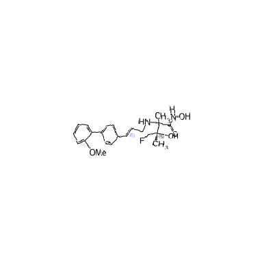 COc1ccccc1-c1ccc(/C=C/CNC(C)(C(=O)NO)[C@](C)(O)CF)cc1